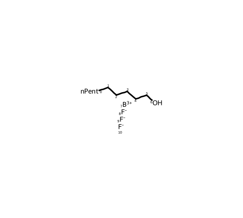 CCCCCCCCCCO.[B+3].[F-].[F-].[F-]